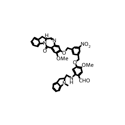 COc1cc2c(cc1OCc1cc(COc3cc(NCC4Cc5ccccc5N4C)c(C=O)cc3OC)cc([N+](=O)[O-])c1)N=C[C@@H]1Cc3ccccc3N1C2=O